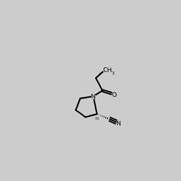 CCC(=O)N1CCC[C@H]1C#N